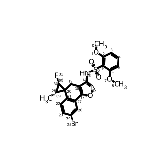 COc1cccc(OC)c1S(=O)(=O)Nc1noc2c1CC1(c3ccc(Br)cc3-2)[C@H](C)[C@H]1F